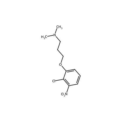 CN(C)CCCOc1cccc([N+](=O)[O-])c1Cl